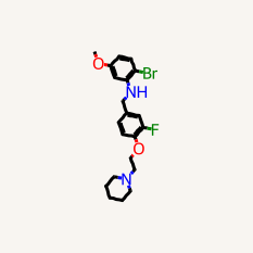 COc1ccc(Br)c(NCc2ccc(OCCN3CCCCC3)c(F)c2)c1